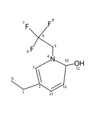 CCC1=CN(CC(F)(F)F)C(O)C=C1